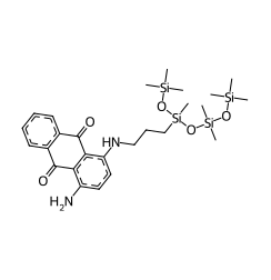 C[Si](C)(C)O[Si](C)(C)O[Si](C)(CCCNc1ccc(N)c2c1C(=O)c1ccccc1C2=O)O[Si](C)(C)C